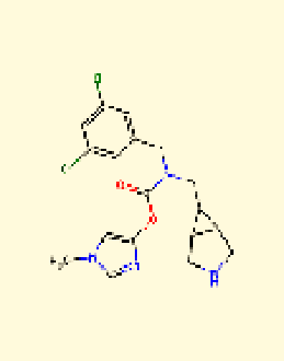 Cn1cnc(OC(=O)N(Cc2cc(Cl)cc(Cl)c2)CC2C3CNCC32)c1